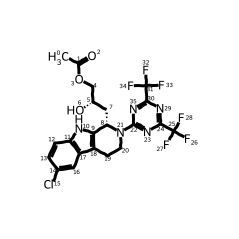 CC(=O)OC[C@@H](O)C[C@H]1c2[nH]c3ccc(Cl)cc3c2CCN1c1nc(C(F)(F)F)nc(C(F)(F)F)n1